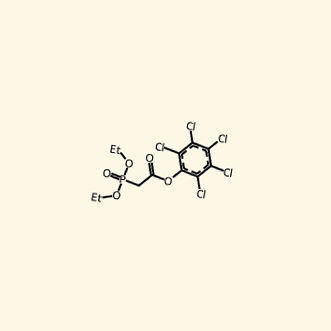 CCOP(=O)(CC(=O)Oc1c(Cl)c(Cl)c(Cl)c(Cl)c1Cl)OCC